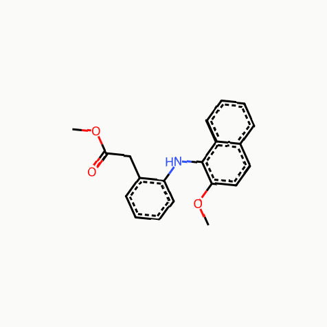 COC(=O)Cc1ccccc1Nc1c(OC)ccc2ccccc12